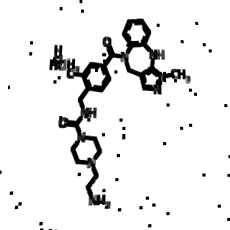 Cc1cc(C(=O)N2Cc3cnn(C)c3Nc3ccccc32)ccc1CNC(=O)N1CCN(CCN)CC1.Cl.Cl